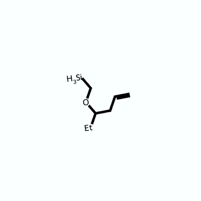 C=CCC(CC)OC[SiH3]